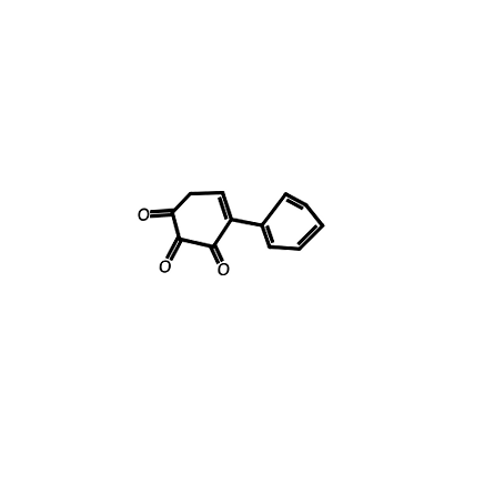 O=C1CC=C(c2ccccc2)C(=O)C1=O